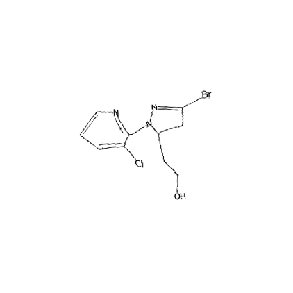 OCCC1CC(Br)=NN1c1ncccc1Cl